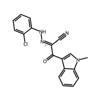 Cn1cc(C(=O)/C(C#N)=N/Nc2ccccc2Cl)c2ccccc21